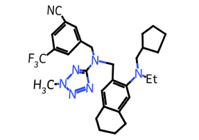 CCN(CC1CCCC1)c1cc2c(cc1CN(Cc1cc(C#N)cc(C(F)(F)F)c1)c1nnn(C)n1)CCCC2